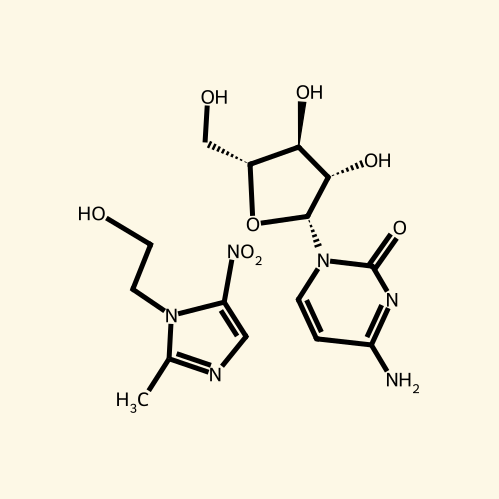 Cc1ncc([N+](=O)[O-])n1CCO.Nc1ccn([C@@H]2O[C@H](CO)[C@@H](O)[C@@H]2O)c(=O)n1